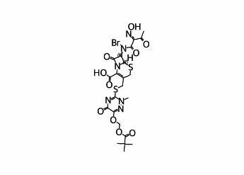 CC(=O)C(=NO)C(=O)N(Br)[C@@H]1C(=O)N2C(C(=O)O)=C(CSc3nc(=O)c(OCOC(=O)C(C)(C)C)nn3C)CS[C@H]12